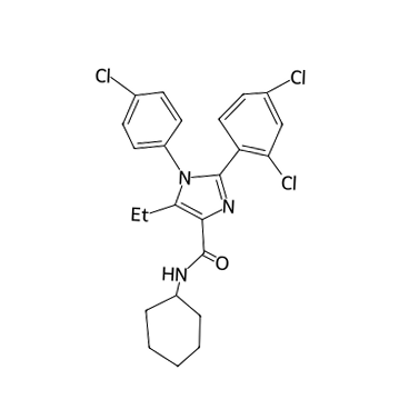 CCc1c(C(=O)NC2CCCCC2)nc(-c2ccc(Cl)cc2Cl)n1-c1ccc(Cl)cc1